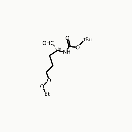 CCOOCCC[C@H](C=O)NC(=O)OC(C)(C)C